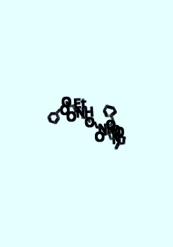 C=C1C=CC(=O)N1CC(C(=O)NCCOCCNC(=O)C(CC)C(=O)OCc1ccccc1)C(=O)OCc1ccccc1